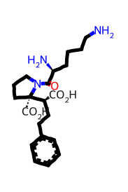 NCCCC[C@H](N)C(=O)N1CCC[C@]1(C(=O)O)[C@H](CCc1ccccc1)C(=O)O